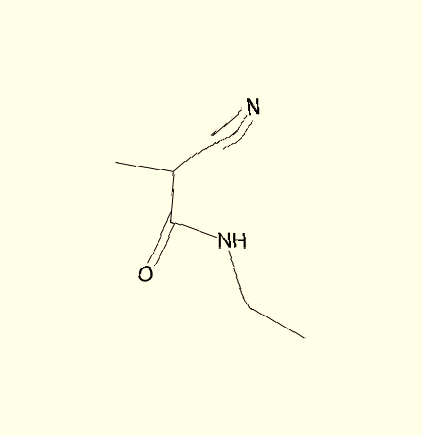 CCNC(=O)C(C)C#N